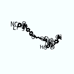 Cc1ncoc1-c1ccc(CNC(=O)[C@@H]2C[C@@H](O)CN2C(=O)C(NC(=O)COCCCCOc2ccc(-c3ccc(N4C(=S)N(c5ccc(C#N)c(Cl)c5)C(=O)C4(C)C)cc3)cc2)C(C)(C)C)cc1